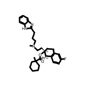 CC(C)[C@H]1c2ccc(F)cc2CC[C@@]1(CCN(C)CCCc1nc2ccccc2[nH]1)OC(=O)C1(C)CCCCC1